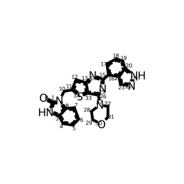 O=c1[nH]c2ccccc2n1Cc1cc2nc(-c3cccc4[nH]ncc34)nc(N3CCOCC3)c2s1